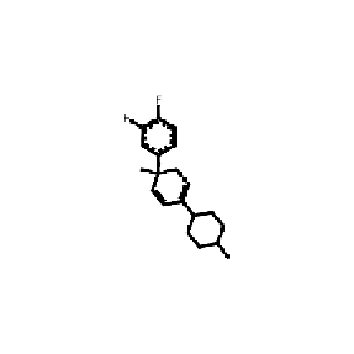 CC1CCC(C2=CCC(C)(c3ccc(F)c(F)c3)C=C2)CC1